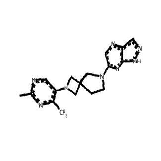 Cc1ncc(N2CC3(CCN(c4cnc5cn[nH]c5n4)C3)C2)c(C(F)(F)F)n1